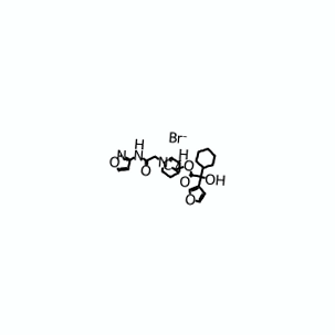 O=C(C[N+]12CCC(CC1)[C@@H](OC(=O)C(O)(c1ccoc1)C1CCCCC1)C2)Nc1ccon1.[Br-]